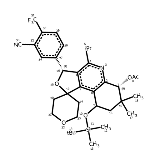 CC(=O)O[C@H]1c2nc(C(C)C)c3c(c2C(O[Si](C)(C)C(C)(C)C)CC1(C)C)C1(CCOCC1)O[C@@H]3c1ccc(C(F)(F)F)c(C#N)c1